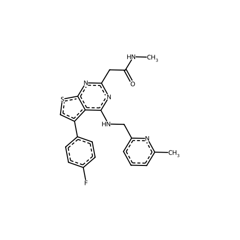 CNC(=O)Cc1nc(NCc2cccc(C)n2)c2c(-c3ccc(F)cc3)csc2n1